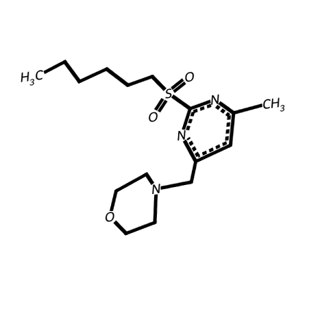 CCCCCCS(=O)(=O)c1nc(C)cc(CN2CCOCC2)n1